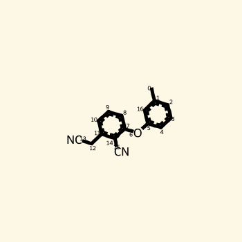 Cc1cccc(Oc2cccc(CC#N)c2C#N)c1